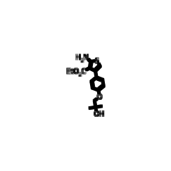 CCOC(=O)c1c(-c2ccc(OCC(C)(C)O)cc2)csc1N